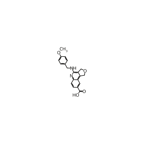 COc1ccc(CNc2nc3ccc(C(=O)O)cc3c3c2COC3)cc1